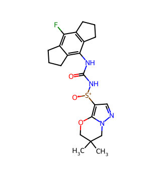 CC1(C)COc2c([S+]([O-])NC(=O)Nc3c4c(c(F)c5c3CCC5)CCC4)cnn2C1